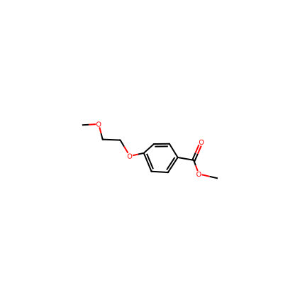 COCCOc1ccc(C(=O)OC)cc1